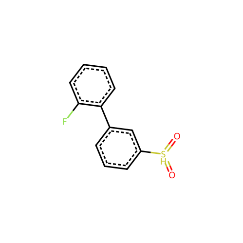 O=[SH](=O)c1cccc(-c2ccccc2F)c1